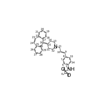 CS(=O)(=O)Nc1ccc(C=CCN2CCC(=C3c4ccccc4C=Cc4ccccc43)CC2)cc1